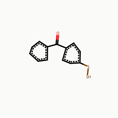 O=C(c1ccccc1)c1ccc(SS)cc1